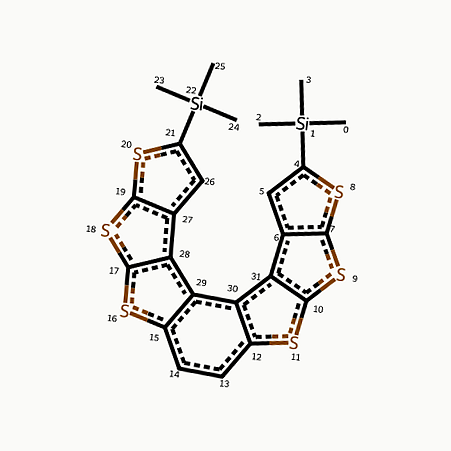 C[Si](C)(C)c1cc2c(s1)sc1sc3ccc4sc5sc6sc([Si](C)(C)C)cc6c5c4c3c12